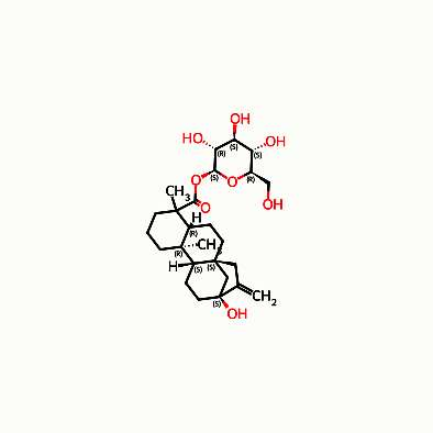 C=C1C[C@]23CC[C@H]4C(C)(C(=O)O[C@@H]5O[C@H](CO)[C@@H](O)[C@H](O)[C@H]5O)CCC[C@]4(C)[C@H]2CC[C@]1(O)C3